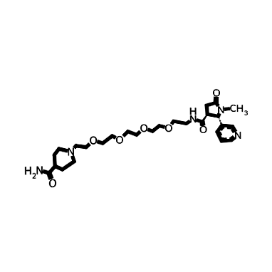 CN1C(=O)C[C@H](C(=O)NCCOCCOCCOCCOCCN2CCC(C(N)=O)CC2)[C@H]1c1cccnc1